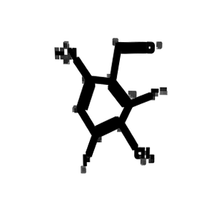 Cc1c(F)cc(N)c(C=O)c1F